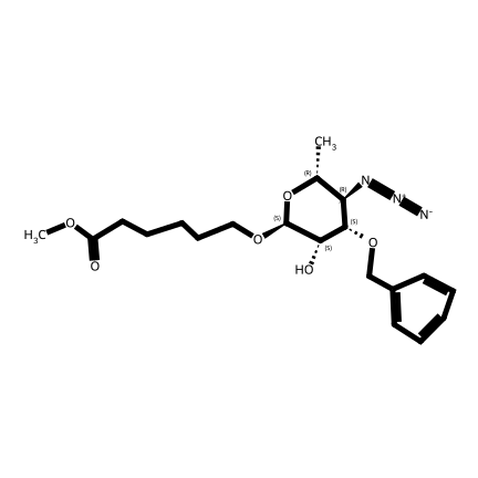 COC(=O)CCCCCO[C@H]1O[C@H](C)[C@@H](N=[N+]=[N-])[C@H](OCc2ccccc2)[C@@H]1O